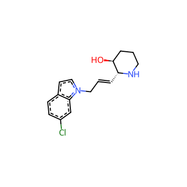 O[C@H]1CCCN[C@@H]1/C=C/Cn1ccc2ccc(Cl)cc21